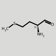 CSCC[C@H](N)[C]=O